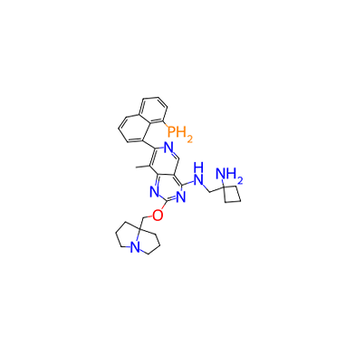 Cc1c(-c2cccc3cccc(P)c23)ncc2c(NCC3(N)CCC3)nc(OCC34CCCN3CCC4)nc12